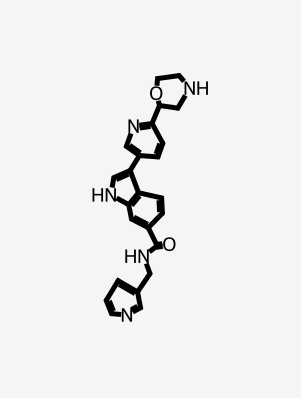 O=C(NCc1cccnc1)c1ccc2c(-c3ccc(C4CNCCO4)nc3)c[nH]c2c1